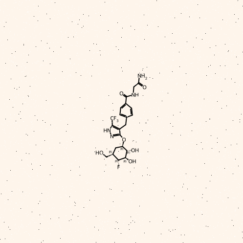 NC(=O)CNC(=O)c1ccc(Cc2c(O[C@@H]3C[C@H](CO)[C@@H](F)[C@H](O)[C@H]3O)n[nH]c2C(F)(F)F)cc1